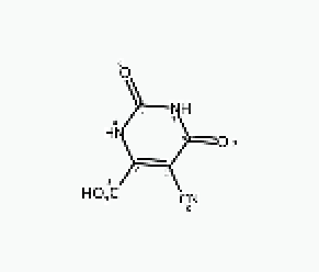 N#Cc1c(C(=O)O)[nH]c(=O)[nH]c1=O